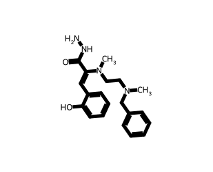 CN(CCN(C)C(=Cc1ccccc1O)C(=O)NN)Cc1ccccc1